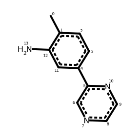 Cc1ccc(-c2cnccn2)cc1N